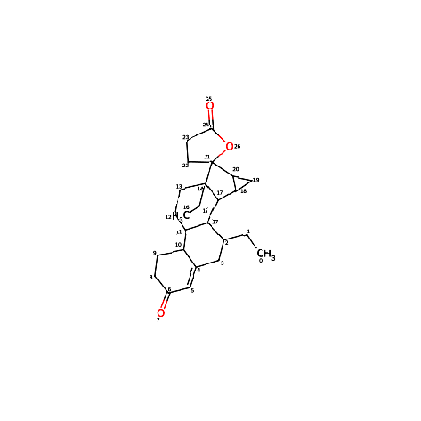 CCC1CC2=CC(=O)CCC2C2CCC3(CC)C(C4CC4C34CCC(=O)O4)C12